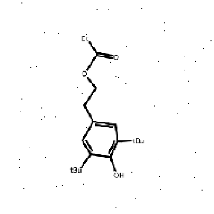 [CH2]CC(=O)OCCc1cc(C(C)(C)C)c(O)c(C(C)(C)C)c1